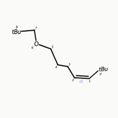 CC(C)(C)/C=C\CCCOCC(C)(C)C